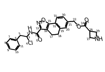 O=C(NC(Cl)Cc1ccccc1)c1noc2c1CCc1cc(COC(=O)C3CNC3)ccc1-2